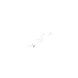 CCOC(=O)[C@H]1C[C@@H]1c1ccc(-c2cc3c(C4CC4)cc(C(=O)N4CCc5ccccc5[C@H]4C)cc3n2C)c(F)c1